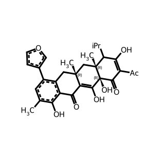 CC(=O)C1=C(O)C(C(C)C)[C@@]2(C)C[C@@]3(C)Cc4c(-c5ccoc5)cc(C)c(O)c4C(=O)C3=C(O)[C@@]2(O)C1=O